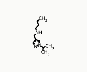 C=CCCNCc1cnn(C(C)C)c1